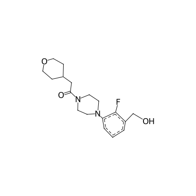 O=C(CC1CCOCC1)N1CCN(c2cccc(CO)c2F)CC1